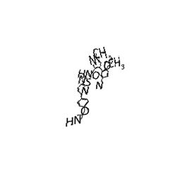 COc1ccc(C#N)cc1-c1cc(C)ncc1C(=O)Nc1nc2ccc(-c3ccc(OC4CNC4)cc3)nc2s1